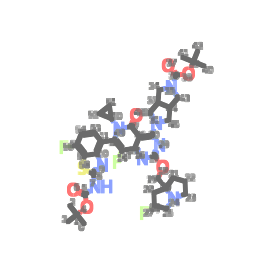 CC(C)(C)OC(=O)Nc1nc2c(-c3c(F)c4nc(OC[C@@]56CCCN5C[C@H](F)C6)nc(N5CC6CN(C(=O)OC(C)(C)C)CC6C5)c4c(=O)n3C3CC3)ccc(F)c2s1